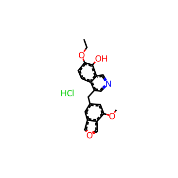 CCOc1ccc2c(Cc3cc(OC)c4cocc4c3)cncc2c1O.Cl